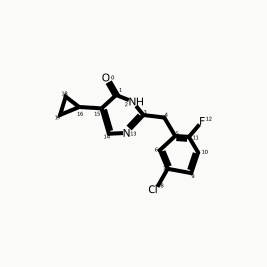 O=c1[nH]c(Cc2cc(Cl)ccc2F)ncc1C1CC1